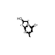 Cc1cc(=O)n2c(n1)SC(O)C2